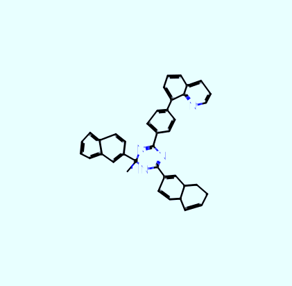 CC1(c2ccc3ccccc3c2)N=C(c2ccc(-c3cccc4cccnc34)cc2)N=C(C2=CC3CCC=CC3C=C2)N1